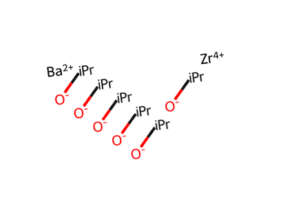 CC(C)[O-].CC(C)[O-].CC(C)[O-].CC(C)[O-].CC(C)[O-].CC(C)[O-].[Ba+2].[Zr+4]